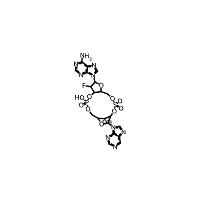 Nc1ncnc2c1ncn2C1OC2COS(=O)(=O)OC3C(O)C(COP(=O)(O)OC2C1F)OC3n1cnc2cncnc21